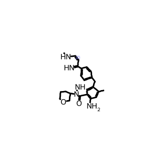 CN/C=C\C(=N)c1ccc(Cc2cc(C(=O)N(N)C3CCCOC3)c(N)cc2C)cc1